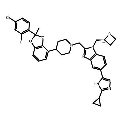 CC1(c2ccc(Cl)cc2F)Oc2cccc(C3CCN(Cc4nc5cc(-c6nnc(C7CC7)[nH]6)ccc5n4C[C@@H]4CCO4)CC3)c2O1